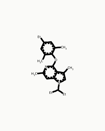 CCc1cc(C)c(Oc2nc(C)cc3c2c(C)cn3C(CC)CC)c(C)c1